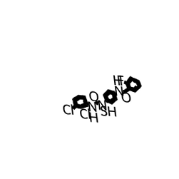 O=C(Nc1ccc(N(S)C(=O)Nc2cccc(Cl)c2Cl)cc1)c1ccccc1F